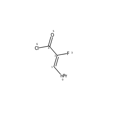 CCCC=C(F)C(=O)Cl